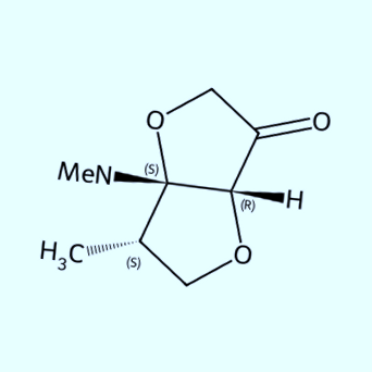 CN[C@@]12OCC(=O)[C@@H]1OC[C@@H]2C